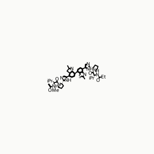 C=C(N[C@H](C(=O)N1CCC[C@H]1c1ncc(-c2ccc(-c3ccc(-c4cnc([C@@H]5CCCN5C(=O)[C@@H](NC(=O)CC)C(C)C)[nH]4)c4nc(C)sc34)c3c2CC(C)=N3)[nH]1)C(C)C)OC